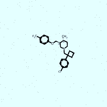 C[C@@H]1CCN(CC2(c3ccc(Cl)cc3)CCC2)C[C@H]1COc1ccc(C(F)(F)F)cc1